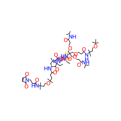 CCC(C)(NCN[SH](=O)(CC)NC(COCCC(=O)NC(C)C)(COCCC(=O)NC(C)C)COCCC(=O)NC(C)(C)CCOC(C)(C)C)C(=O)[C@H](CC(C)CC(=O)O)NC(=O)CCC(C)(C)OCCC(C)(C)NC(=O)CCN1C(=O)C=CC1=O